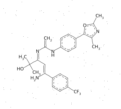 C=C(/N=C(\C=C(/N)c1ccc(C(F)(F)F)cc1)C(C)(C)O)Nc1ccc(-c2oc(C)nc2C)cc1